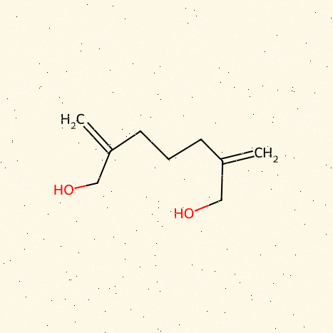 C=C(CO)CCCC(=C)CO